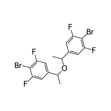 CC(OC(C)c1cc(F)c(Br)c(F)c1)c1cc(F)c(Br)c(F)c1